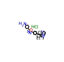 CCc1nn2cccnc2c1C(C)(C)c1ccc(-c2nnc(C3CCC(N)CC3)o2)cc1.Cl